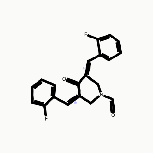 O=CN1C/C(=C/c2ccccc2F)C(=O)/C(=C/c2ccccc2F)C1